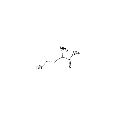 CCCCCC(N)C([NH])=S